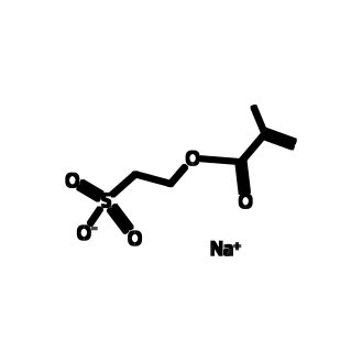 C=C(C)C(=O)OCCS(=O)(=O)[O-].[Na+]